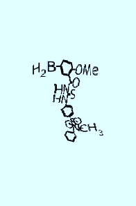 Bc1ccc(OC)c(C(=O)NC(=S)Nc2ccc(S(=O)(=O)N(C)c3ccccc3)cc2)c1